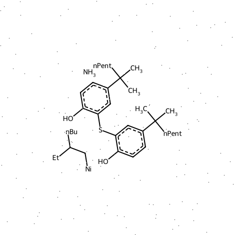 CCCCC(CC)[CH2][Ni].CCCCCC(C)(C)c1ccc(O)c(Sc2cc(C(C)(C)CCCCC)ccc2O)c1.N